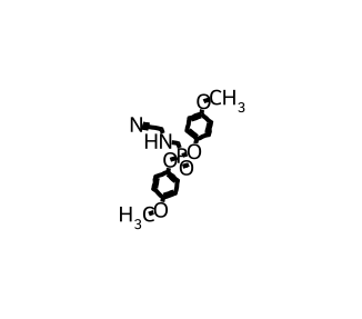 COc1ccc(OP(=O)(CNCC#N)Oc2ccc(OC)cc2)cc1